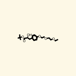 CCOCCOCCOc1ccc(C[C@H](O)C(=O)OC(C)(C)C)cc1